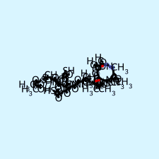 CCC1(C)C[C@H](C)C2C[C@@](O)(NC(=O)O2)[C@H](OC)/C=C/C=C(\C)Cc2cc(OC)c(Cl)c(c2)N(C)C(=O)C[C@@H]1OC(=O)[C@H](C)N(C)C(=O)CCSSC(C)(C)CCC(=O)NNC(=O)CCN(C(=O)CCN1C(=O)CC(S)C1=O)N(CCC(=O)NNC(=O)CCC(C)(C)SSCCC(=O)N(C)[C@@H](C)C(=O)O)C(=O)CCN1C(=O)CC(S)C1=O